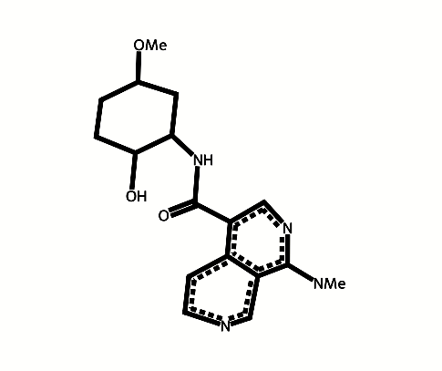 CNc1ncc(C(=O)NC2CC(OC)CCC2O)c2ccncc12